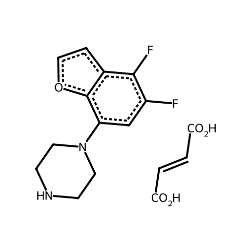 Fc1cc(N2CCNCC2)c2occc2c1F.O=C(O)C=CC(=O)O